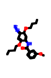 CCCCOC1=CC(=[N+]=[N-])C(OCCCC)C=C1NC(=O)c1cccc(OC)c1